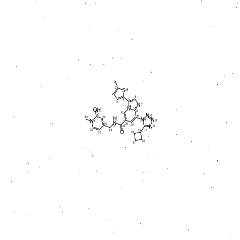 Cc1ccc(-c2cnc3c(-n4nnnc4C4CCC4)cc(C(=O)NCC4=CC(O)N(C)C=C4)cn23)s1